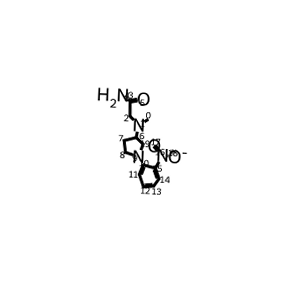 CN(CC(N)=O)C1CCN(c2ccccc2[N+](=O)[O-])C1